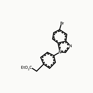 CCOC(=O)Cc1ccc(-n2cnc3cc(Br)ccc32)cc1